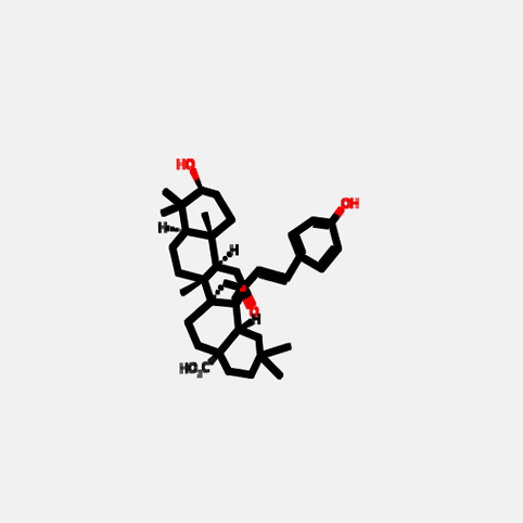 CC1(C)CC[C@]2(C(=O)O)CC[C@]3(CC(=O)/C=C/c4ccc(O)cc4)C(=CC[C@@H]4[C@@]5(C)CC[C@H](O)C(C)(C)[C@@H]5CC[C@]43C)[C@@H]2C1